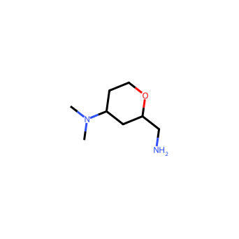 CN(C)C1CCOC(CN)C1